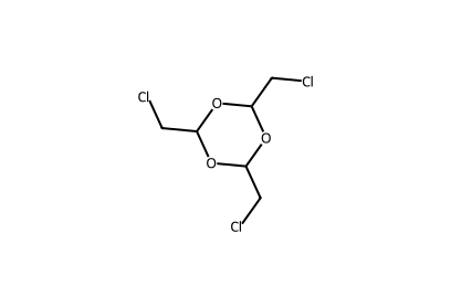 ClCC1OC(CCl)OC(CCl)O1